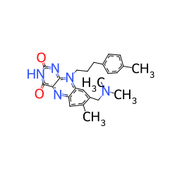 Cc1ccc(CCCn2c3nc(=O)[nH]c(=O)c-3nc3cc(C)c(CN(C)C)cc32)cc1